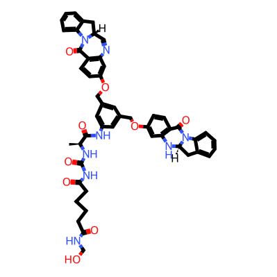 C[C@H](NC(=O)NC(=O)CCCCC(=O)NCO)C(=O)Nc1cc(COc2ccc3c(c2)N=C[C@H]2Cc4ccccc4N2C3=O)cc(COc2ccc3c(c2)N[C@@H]2Cc4ccccc4N2C3=O)c1